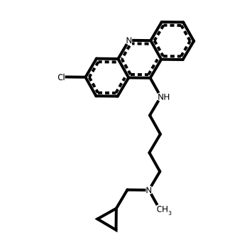 CN(CCCCNc1c2ccccc2nc2cc(Cl)ccc12)CC1CC1